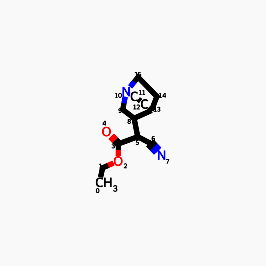 CCOC(=O)C(C#N)C1CN2CCC1CC2